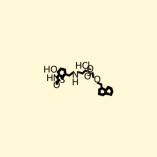 Cl.O=c1[nH]c2c(O)ccc(CCNCCCS(=O)(=O)CCOCCc3cccc4ccccc34)c2s1